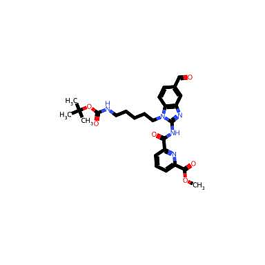 COC(=O)c1cccc(C(=O)Nc2nc3cc(C=O)ccc3n2CCCCCNC(=O)OC(C)(C)C)n1